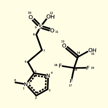 Cn1ccnc1CCCS(=O)(=O)O.O=C(O)C(F)(F)F